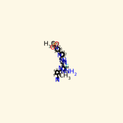 Cc1c(C#N)cccc1-c1nc(N)c(F)c(-c2cn(Cc3cccc(C4CCN(S(C)(=O)=O)CC4)n3)nn2)n1